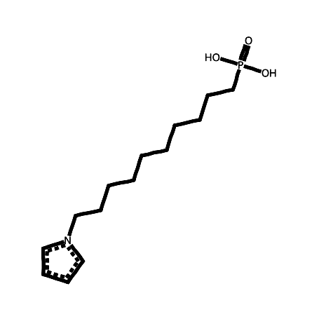 O=P(O)(O)CCCCCCCCCCn1cccc1